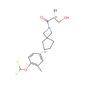 CC[C@H](CO)C(=O)N1CC2(CC[C@H](c3ccc(OC(F)F)c(C)c3)C2)C1